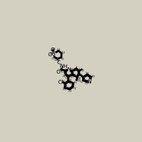 Cc1cc2nc(C(=O)NCC3CCCS(=O)(=O)C3)cc(-c3ccccc3Cl)c2c(C)c1-c1ccncc1